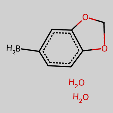 Bc1ccc2c(c1)OCO2.O.O